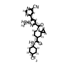 N#Cc1cc(-c2cc(C(=O)N3CCC(C(=O)NC4CCC(C(F)(F)F)CC4)CC34CC4)nn2PI)ncn1